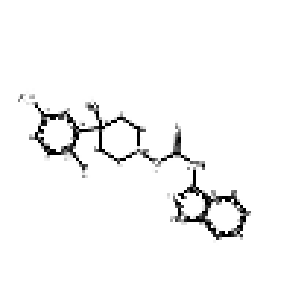 O=C(Nc1n[nH]c2ccccc12)ON1CCC(O)(c2cc(C(F)(F)F)ccc2F)CC1